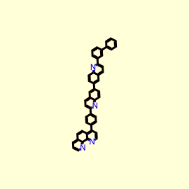 c1ccc(-c2cccc(-c3ccc4cc(-c5ccc6nc(-c7ccc(-c8ccnc9c8ccc8cccnc89)cc7)ccc6c5)ccc4n3)c2)cc1